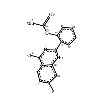 Cc1ccc2c(Cl)nc(-c3ccccc3OC(=O)C(C)(C)C)nc2c1